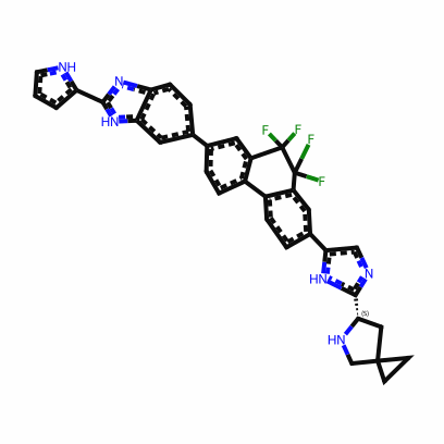 FC1(F)c2cc(-c3ccc4nc(-c5ccc[nH]5)[nH]c4c3)ccc2-c2ccc(-c3cnc([C@@H]4CC5(CC5)CN4)[nH]3)cc2C1(F)F